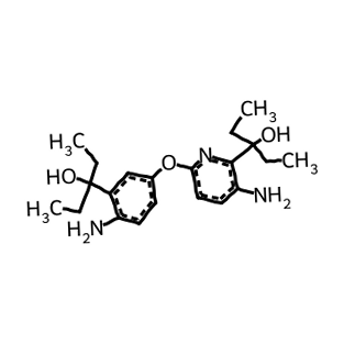 CCC(O)(CC)c1cc(Oc2ccc(N)c(C(O)(CC)CC)n2)ccc1N